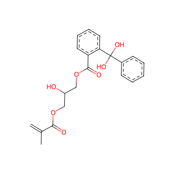 C=C(C)C(=O)OCC(O)COC(=O)c1ccccc1C(O)(O)c1ccccc1